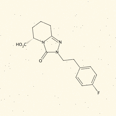 O=C(O)[C@@H]1CCCc2nn(CCc3ccc(F)cc3)c(=O)n21